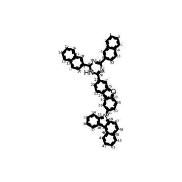 c1ccc2cc(C3=NC(c4ccc5ccccc5c4)NC(c4ccc5c(c4)oc4ccc(-n6c7ccccc7c7c8ccccc8ccc76)cc45)=N3)ccc2c1